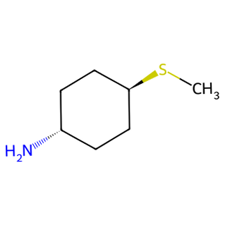 CS[C@H]1CC[C@H](N)CC1